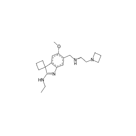 CCNC1=Nc2cc(CNCCN3CCC3)c(OC)cc2C12CCC2